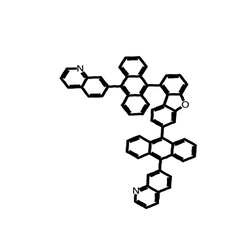 c1cnc2cc(-c3c4ccccc4c(-c4ccc5c(c4)oc4cccc(-c6c7ccccc7c(-c7ccc8cccnc8c7)c7ccccc67)c45)c4ccccc34)ccc2c1